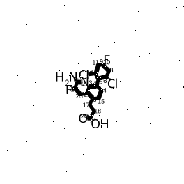 Nc1nc2c(-c3c(Cl)cc(F)cc3Cl)ccc(CCC(=O)O)c2cc1F